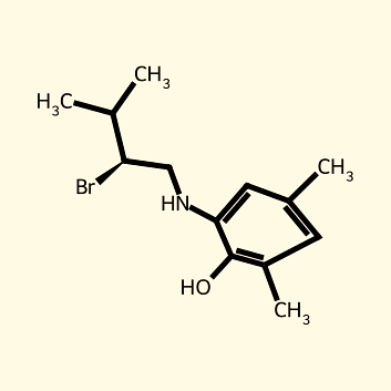 Cc1cc(C)c(O)c(NC[C@@H](Br)C(C)C)c1